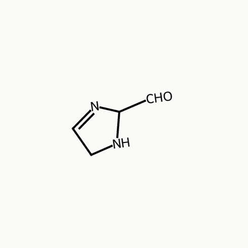 O=CC1N=CCN1